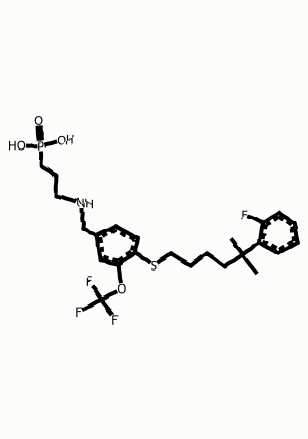 CC(C)(CCCCSc1ccc(CNCCCP(=O)(O)O)cc1OC(F)(F)F)c1ccccc1F